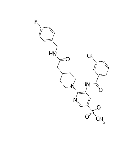 CS(=O)(=O)c1cnc(N2CCC(CC(=O)NCc3ccc(F)cc3)CC2)c(NC(=O)c2cccc(Cl)c2)c1